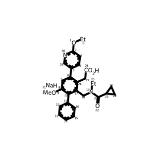 CCOc1ccc(-c2cc(OC)c(-c3ccccc3)c(CN(CC)C(=O)C3CC3)c2CC(=O)O)cn1.[NaH]